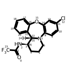 O=C(N[C@@H]1CCCN2c3ccc(Cl)cc3Oc3ccccc3[C@@H]12)C(F)(F)F